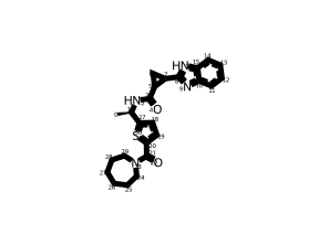 C[C@@H](NC(=O)C1CC1c1nc2ccccc2[nH]1)c1ccc(C(=O)N2CCCCCC2)s1